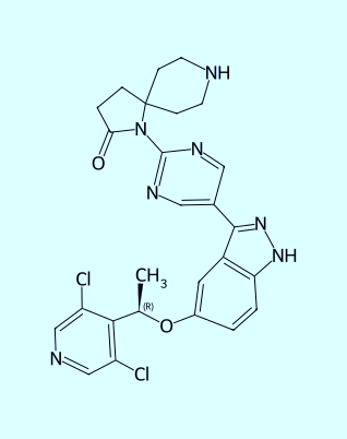 C[C@@H](Oc1ccc2[nH]nc(-c3cnc(N4C(=O)CCC45CCNCC5)nc3)c2c1)c1c(Cl)cncc1Cl